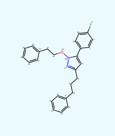 Fc1ccc(-c2cc(CCCc3ccccc3)nn2OCCc2ccccc2)cc1